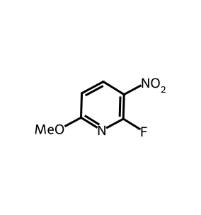 COc1ccc([N+](=O)[O-])c(F)n1